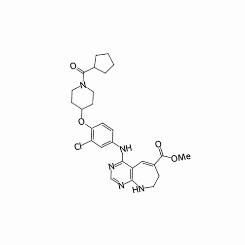 COC(=O)C1=Cc2c(ncnc2Nc2ccc(OC3CCN(C(=O)C4CCCC4)CC3)c(Cl)c2)NCC1